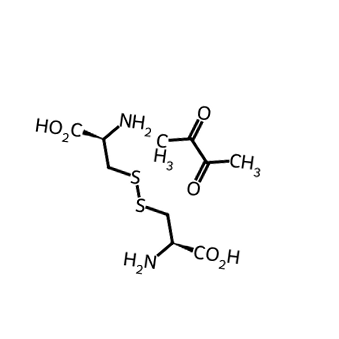 CC(=O)C(C)=O.N[C@@H](CSSC[C@H](N)C(=O)O)C(=O)O